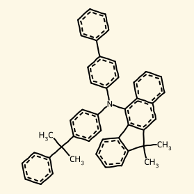 CC(C)(c1ccccc1)c1ccc(N(c2ccc(-c3ccccc3)cc2)c2c3c(cc4ccccc24)C(C)(C)c2ccccc2-3)cc1